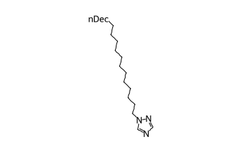 CCCCCCCCCCCCCCCCCCCCCCn1cncn1